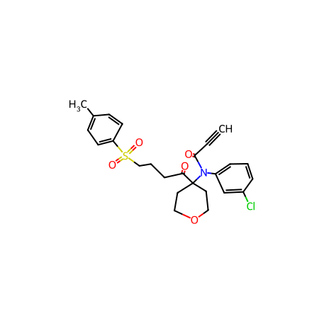 C#CC(=O)N(c1cccc(Cl)c1)C1(C(=O)CCCS(=O)(=O)c2ccc(C)cc2)CCOCC1